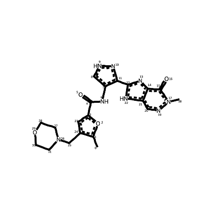 Cc1oc(C(=O)Nc2c[nH]nc2-c2nc3c(=O)n(C)ncc3[nH]2)cc1CN1CCOCC1